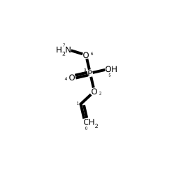 C=COP(=O)(O)ON